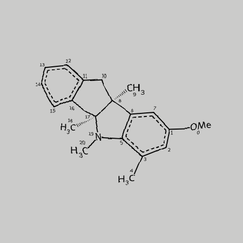 COc1cc(C)c2c(c1)[C@]1(C)Cc3ccccc3[C@]1(C)N2C